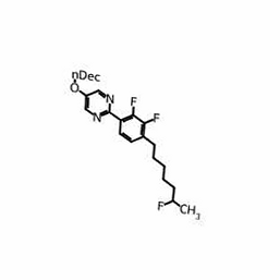 CCCCCCCCCCOc1cnc(-c2ccc(CCCCCC(C)F)c(F)c2F)nc1